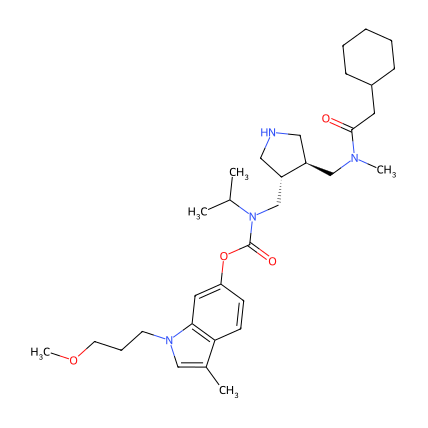 COCCCn1cc(C)c2ccc(OC(=O)N(C[C@@H]3CNC[C@H]3CN(C)C(=O)CC3CCCCC3)C(C)C)cc21